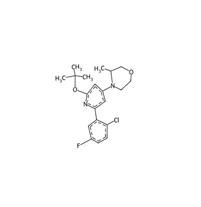 CC1COCCN1c1cc(OC(C)(C)C)nc(-c2cc(F)ccc2Cl)c1